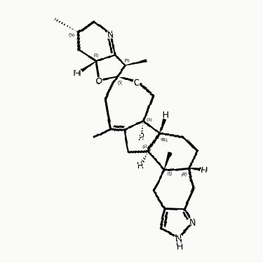 CC1=C2C[C@H]3[C@@H](CC[C@@H]4Cc5n[nH]cc5C[C@@]43C)[C@@H]2CC[C@@]2(C1)O[C@@H]1C[C@H](C)CN=C1[C@H]2C